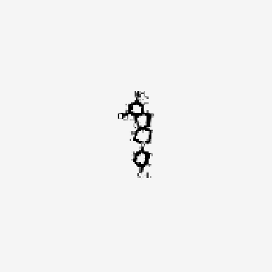 Cc1ccc(N2CCC3(C=Cc4cc(N)cc(Cl)c4O3)CC2)cc1